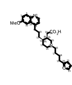 COc1ccc2nccc(CCC[C@@H]3CCN(CCCCc4ccco4)C[C@@H]3CC(=O)O)c2c1